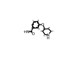 [NH]C(=O)c1cccc(OC2CCNCC2)c1